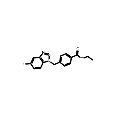 CCOC(=O)c1ccc(Cn2nnc3cc(F)ccc32)cc1